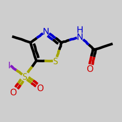 CC(=O)Nc1nc(C)c(S(=O)(=O)I)s1